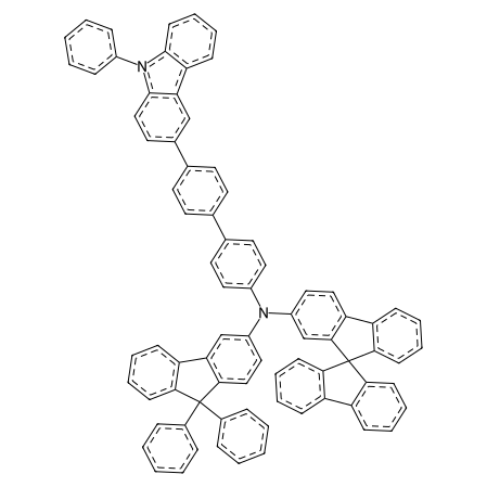 c1ccc(-n2c3ccccc3c3cc(-c4ccc(-c5ccc(N(c6ccc7c(c6)-c6ccccc6C7(c6ccccc6)c6ccccc6)c6ccc7c(c6)C6(c8ccccc8-c8ccccc86)c6ccccc6-7)cc5)cc4)ccc32)cc1